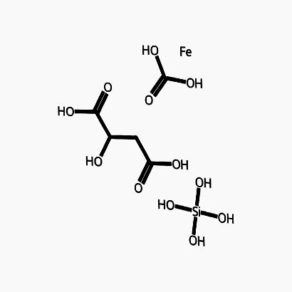 O=C(O)CC(O)C(=O)O.O=C(O)O.O[Si](O)(O)O.[Fe]